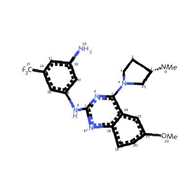 CN[C@H]1CCN(c2nc(Nc3cc(N)cc(C(F)(F)F)c3)nc3ccc(OC)cc23)C1